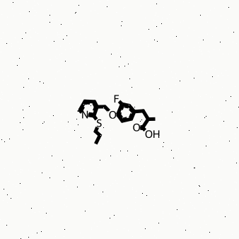 CCCSc1ncccc1COc1ccc(CC(C)C(=O)O)cc1F